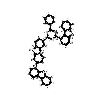 c1ccc(-c2nc(-c3ccc4sc5cc(-c6cccc7c6sc6ccccc67)ccc5c4c3)nc(-c3cccc4sc5ccccc5c34)n2)cc1